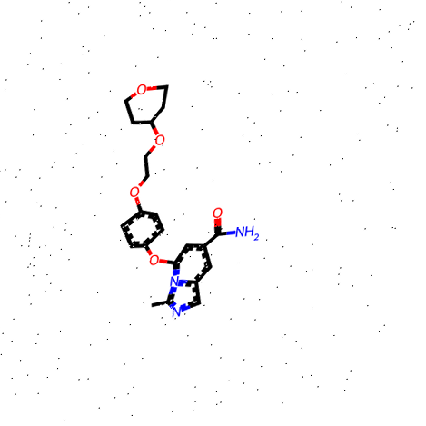 Cc1ncc2cc(C(N)=O)cc(Oc3ccc(OCCOC4CCOCC4)cc3)n12